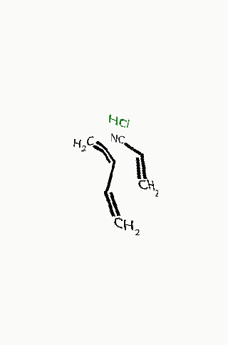 C=CC#N.C=CC=C.Cl